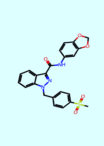 CS(=O)(=O)c1ccc(Cn2nc(C(=O)Nc3ccc4c(c3)OCO4)c3ccccc32)cc1